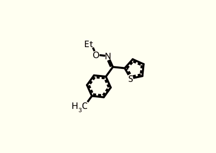 CCO/N=C(\c1ccc(C)cc1)c1cccs1